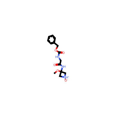 COC1(NC(=O)CNC(=O)OCc2ccccc2)C[NH+]([O-])C1